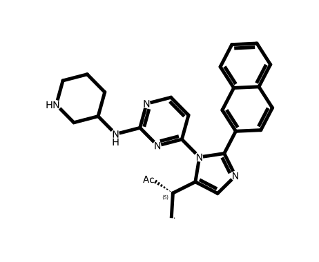 [CH2][C@H](C(C)=O)c1cnc(-c2ccc3ccccc3c2)n1-c1ccnc(NC2CCCNC2)n1